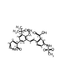 COc1c(/C=C/c2ccc(NS(C)(=O)=O)cc2C(=O)O)cc(-c2ccn[nH]c2=O)cc1C(C)(C)C